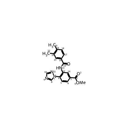 COC(=O)c1ccc(-n2cncn2)c(NC(=O)c2ccc(C)c(C)c2)c1